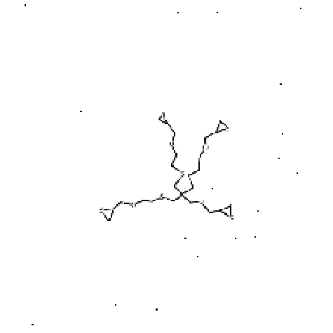 C(CSCC(COCC1CS1)(CSCCOCC1CS1)CSCCOCC1CS1)OCC1CS1